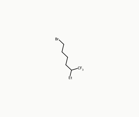 CCC(CCCCBr)C(F)(F)F